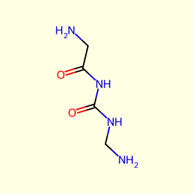 NCNC(=O)NC(=O)CN